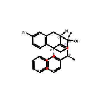 C[C@H](/N=C1/[C@@H]2Cc3cc(Br)ccc3[C@]1(Cc1ccccc1)CC[C@@]2(C)O)c1ccccc1